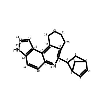 C1=CC2CC1CC2c1nc2ccc3[nH]ncc3c2c2c1CCCC2